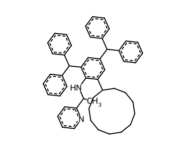 CC(Nc1c(C2CCCCCCCCCCC2)cc(C(c2ccccc2)c2ccccc2)cc1C(c1ccccc1)c1ccccc1)c1ccccn1